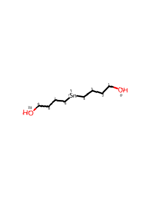 OCCC[CH2][Sn][CH2]CCCO